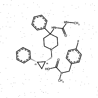 CN(Cc1ccc(F)cc1)C(=O)O.CNC(=O)NC1(c2ccccc2)CCN(C[C@@H]2C[C@@H]2c2ccccc2)CC1